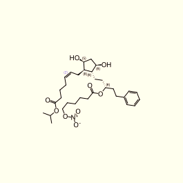 CC(C)OC(=O)CCC/C=C\C[C@@H]1[C@@H](CC[C@H](CCc2ccccc2)OC(=O)CCCCCO[N+](=O)[O-])[C@H](O)C[C@@H]1O